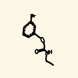 CCNC(=O)Oc1cccc(Br)c1